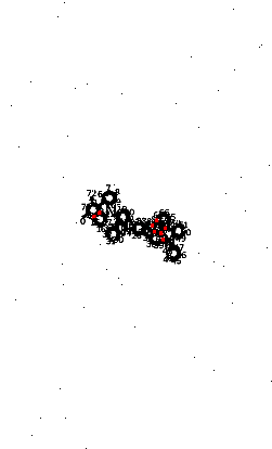 Cc1ccc(-c2ccccc2N(c2ccccc2)c2ccc3c4cc5c(cc4n4c6ccccc6c2c34)c2ccc(N(c3ccccc3)c3ccccc3-c3ccc(C)cc3C)c3c4ccccc4n5c23)c(C)c1